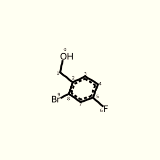 OCc1ccc(F)cc1Br